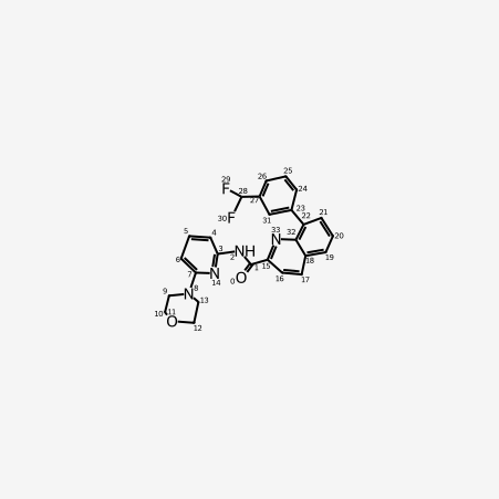 O=C(Nc1cccc(N2CCOCC2)n1)c1ccc2cccc(-c3cccc(C(F)F)c3)c2n1